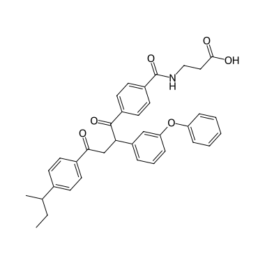 CCC(C)c1ccc(C(=O)CC(C(=O)c2ccc(C(=O)NCCC(=O)O)cc2)c2cccc(Oc3ccccc3)c2)cc1